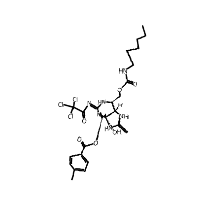 C=C1N[C@H]2[C@H](COC(=O)NCCCCCC)N/C(=N/C(=O)C(Cl)(Cl)Cl)N3C[C@H](OC(=O)c4ccc(C)cc4)[C@H](O)C23N1